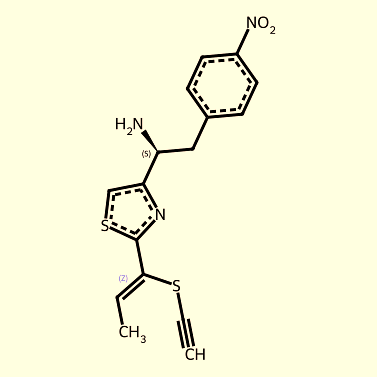 C#CS/C(=C\C)c1nc([C@@H](N)Cc2ccc([N+](=O)[O-])cc2)cs1